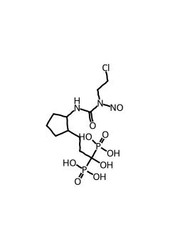 O=NN(CCCl)C(=O)NC1CCCC1CCC(O)(P(=O)(O)O)P(=O)(O)O